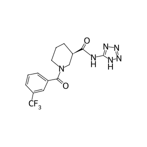 O=C(Nc1nnn[nH]1)[C@@H]1CCCN(C(=O)c2cccc(C(F)(F)F)c2)C1